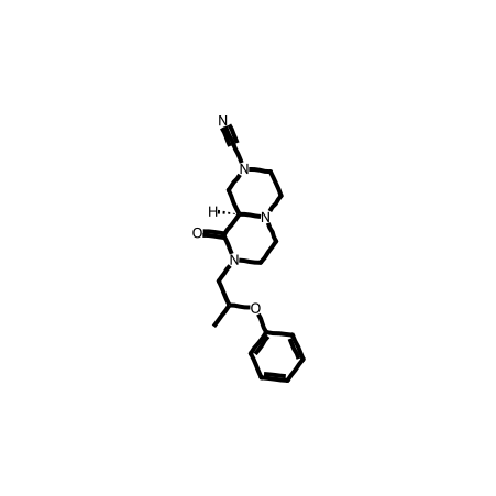 CC(CN1CCN2CCN(C#N)C[C@@H]2C1=O)Oc1ccccc1